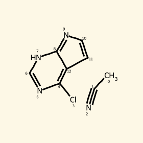 CC#N.Clc1nc[nH]c2nccc1-2